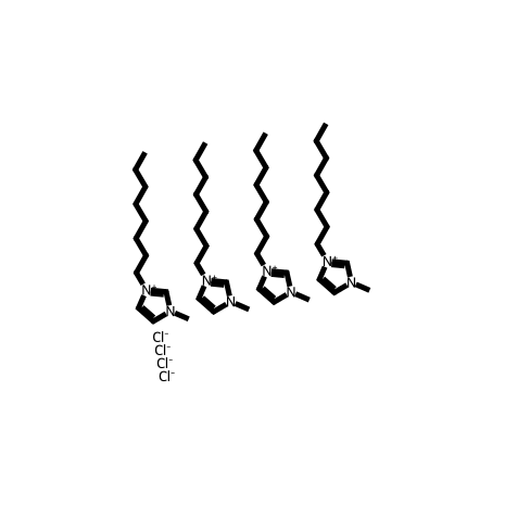 CCCCCCCC[n+]1ccn(C)c1.CCCCCCCC[n+]1ccn(C)c1.CCCCCCCC[n+]1ccn(C)c1.CCCCCCCC[n+]1ccn(C)c1.[Cl-].[Cl-].[Cl-].[Cl-]